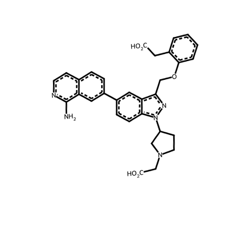 Nc1nccc2ccc(-c3ccc4c(c3)c(COc3ccccc3CC(=O)O)nn4C3CCN(CC(=O)O)C3)cc12